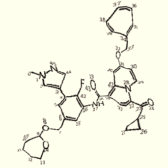 Cn1cc(-c2cc(COC3CCCCO3)cc(NC(=O)c3cc(C(=O)C4CC4)n4ccc(OCc5ccccc5)cc34)c2F)cn1